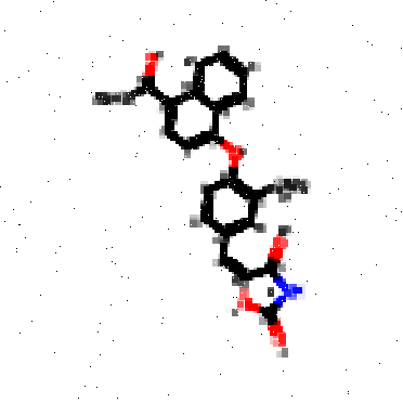 COC(=O)c1ccc(Oc2ccc(/C=C3/OC(=O)NC3=O)cc2OC)c2ccccc12